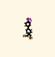 PC1=CC=C(C2CCC(CS)(CS)CC2)CC1